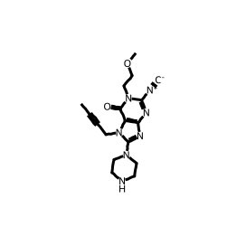 [C-]#[N+]c1nc2nc(N3CCNCC3)n(CC#CC)c2c(=O)n1CCOC